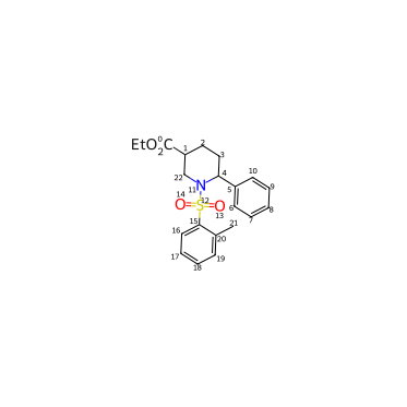 CCOC(=O)C1CCC(c2ccccc2)N(S(=O)(=O)c2ccccc2C)C1